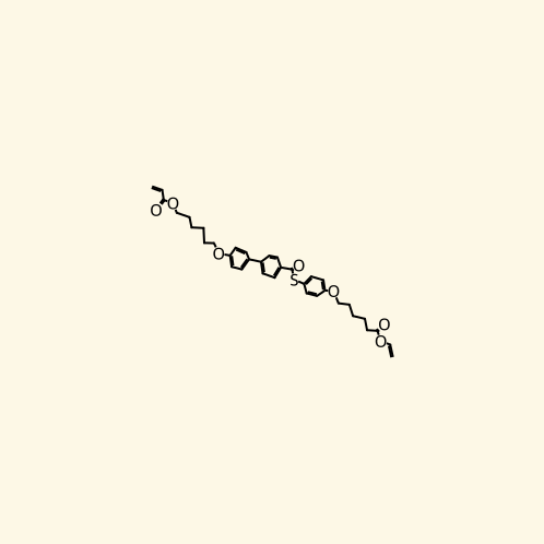 C=COC(=O)CCCCCOc1ccc(SC(=O)c2ccc(-c3ccc(OCCCCCCOC(=O)C=C)cc3)cc2)cc1